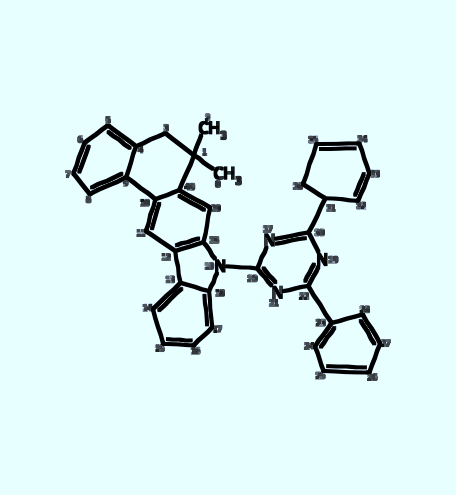 CC1(C)Cc2ccccc2-c2cc3c4ccccc4n(-c4nc(-c5ccccc5)nc(C5C=CC=CC5)n4)c3cc21